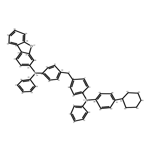 c1ccc(N(c2ccc(Cc3ccc(N(c4ccccc4)c4ccc5c(c4)oc4ccccc45)cc3)cc2)c2ccc(C3CCCCC3)cc2)cc1